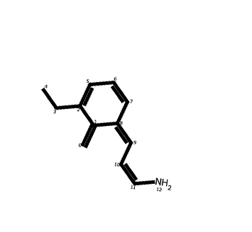 C=c1c(CC)ccc/c1=C/C=C\N